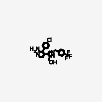 Nc1nccc(-c2cn(Cc3ccc(C(F)(F)F)cc3)nc2CO)c1-c1ccc(Cl)cc1